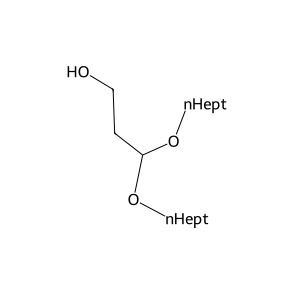 CCCCCCCOC(CCO)OCCCCCCC